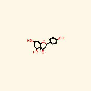 CC12C(=O)CC(c3ccc(O)cc3)OC1=CC(O)=CC2O